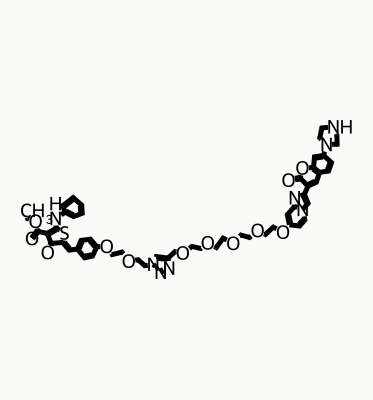 CCOC(=O)C1=C(Nc2ccccc2)S/C(=C\c2ccc(OCCOCCn3cc(COCCOCCOCCOCCOc4ccn5cc(-c6cc7ccc(N8CCNCC8)cc7oc6=O)nc5c4)nn3)cc2)C1=O